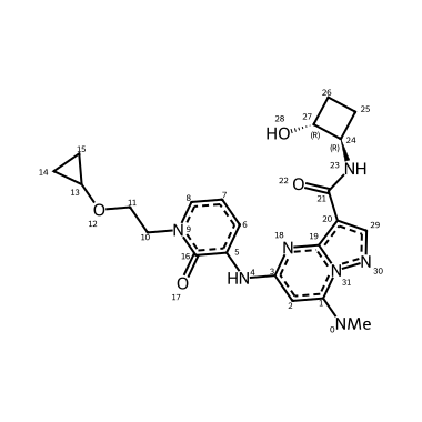 CNc1cc(Nc2cccn(CCOC3CC3)c2=O)nc2c(C(=O)N[C@@H]3CC[C@H]3O)cnn12